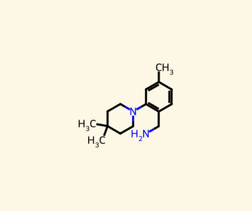 Cc1ccc(CN)c(N2CCC(C)(C)CC2)c1